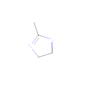 CC1=NCCN1